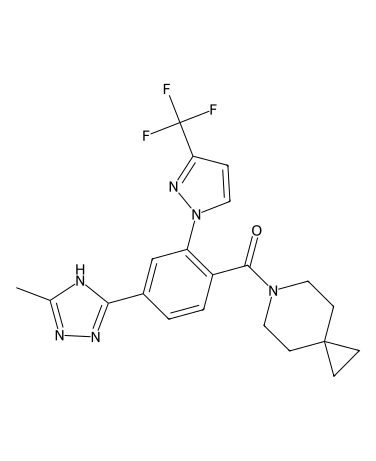 Cc1nnc(-c2ccc(C(=O)N3CCC4(CC3)CC4)c(-n3ccc(C(F)(F)F)n3)c2)[nH]1